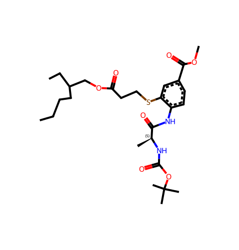 CCCCC(CC)COC(=O)CCSc1cc(C(=O)OC)ccc1NC(=O)[C@H](C)NC(=O)OC(C)(C)C